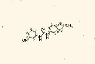 Cc1nc2ccc(NC(=O)Nc3cccc(N=O)c3)cc2s1